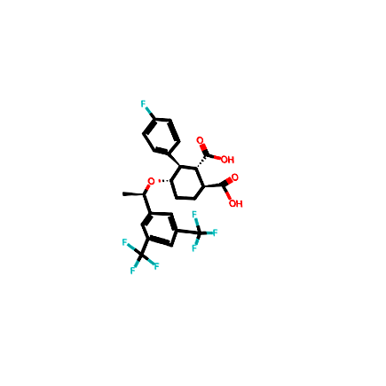 C[C@@H](O[C@H]1CC[C@H](C(=O)O)[C@@H](C(=O)O)[C@@H]1c1ccc(F)cc1)c1cc(C(F)(F)F)cc(C(F)(F)F)c1